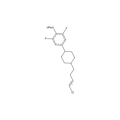 CCCCCc1c(F)cc(C2CCC(CC/C=C/Cl)CC2)cc1F